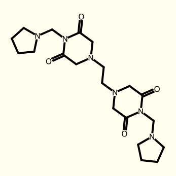 O=C1CN(CCN2CC(=O)N(CN3CCCC3)C(=O)C2)CC(=O)N1CN1CCCC1